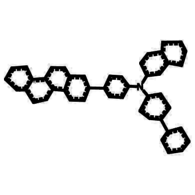 c1ccc(-c2ccc(N(c3ccc(-c4ccc5c(ccc6c7ccccc7ccc56)c4)cc3)c3ccc4ccccc4c3)cc2)cc1